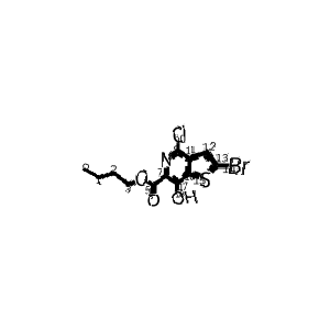 CCCCOC(=O)c1nc(Cl)c2cc(Br)sc2c1O